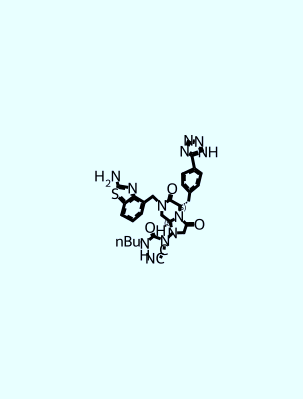 CCCCNC(=O)N(CC#N)N1CC(=O)N2[C@@H](Cc3ccc(-c4nnn[nH]4)cc3)C(=O)N(Cc3cccc4sc(N)nc34)C[C@@H]21